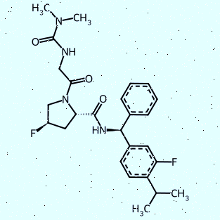 CC(C)c1ccc([C@@H](NC(=O)[C@@H]2C[C@@H](F)CN2C(=O)CNC(=O)N(C)C)c2ccccc2)cc1F